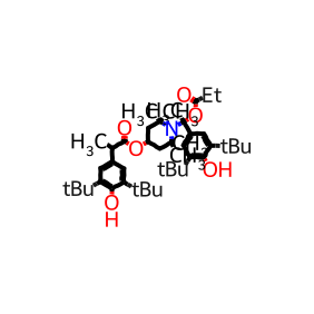 CCC(=O)OC(C)(c1cc(C(C)(C)C)c(O)c(C(C)(C)C)c1)N1C(C)(C)CC(OC(=O)C(C)c2cc(C(C)(C)C)c(O)c(C(C)(C)C)c2)CC1(C)C